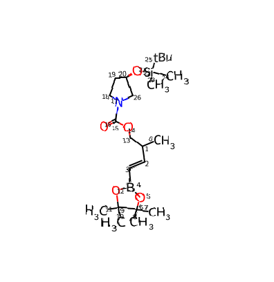 CC(/C=C/B1OC(C)(C)C(C)(C)O1)COC(=O)N1CC[C@@H](O[Si](C)(C)C(C)(C)C)C1